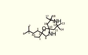 CCC1(CCC(C)C)CNC2(CC(C)(C)NC(C)(C)C2)O1